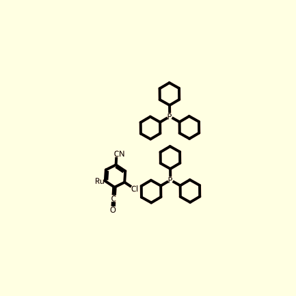 C1CCC(P(C2CCCCC2)C2CCCCC2)CC1.C1CCC(P(C2CCCCC2)C2CCCCC2)CC1.N#CC1=CC(Cl)C(=C=O)C=C1.[Ru]